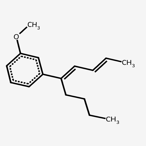 CC=CC=C(CCCC)c1cccc(OC)c1